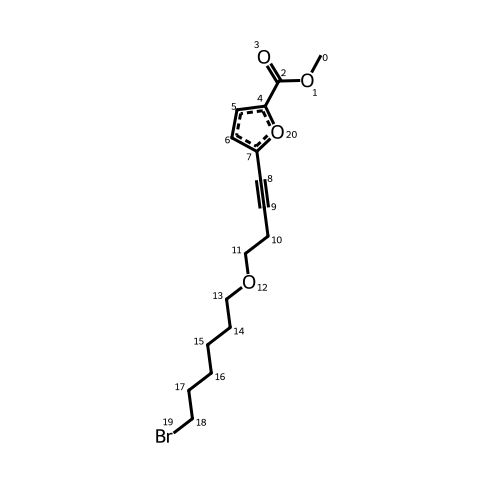 COC(=O)c1ccc(C#CCCOCCCCCCBr)o1